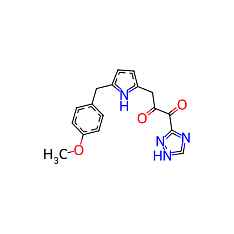 COc1ccc(Cc2ccc(CC(=O)C(=O)c3nc[nH]n3)[nH]2)cc1